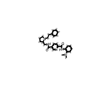 CN(C)c1ccccc1NC(=O)c1ccc(C(=O)NCC2CCCN2CCc2ccccc2)cn1